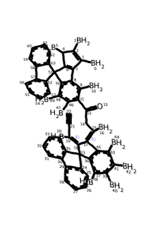 BC1=C(B)C(B)C2=C1c1c(B)c(C(=O)C/C(B)=C3\C(=C(\B)C#C)C4(c5ccccc5-c5ccccc54)c4c(B)c(B)c(B)c(B)c43)c(B)c(B)c1C21c2ccccc2-c2ccccc21